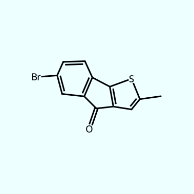 Cc1cc2c(s1)-c1ccc(Br)cc1C2=O